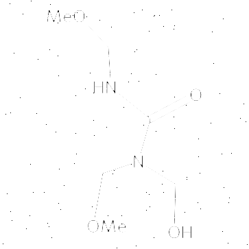 COCNC(=O)N(CO)COC